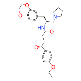 CCOc1ccc(C(=O)CCC(=O)N[C@@H](Cc2ccc3c(c2)OCCO3)CN2CCCC2)cc1